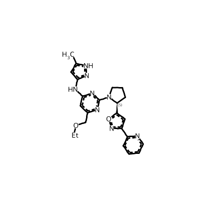 CCOCc1cc(Nc2cc(C)[nH]n2)nc(N2CCC[C@H]2c2cc(-c3ccccn3)no2)n1